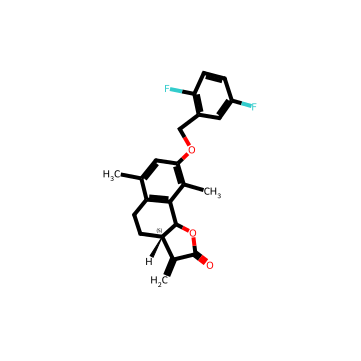 C=C1C(=O)OC2c3c(C)c(OCc4cc(F)ccc4F)cc(C)c3CC[C@@H]12